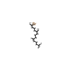 CC(C)CCCC(C)CCCC(C)CCCC(C)Br